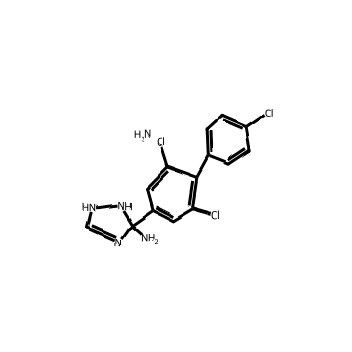 N.NC1(c2cc(Cl)c(-c3ccc(Cl)cc3)c(Cl)c2)N=CNN1